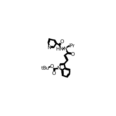 CC(C)N(NC(=O)c1cccnc1)C(=O)/C=C/c1cn(C(=O)OC(C)(C)C)c2ccccc12